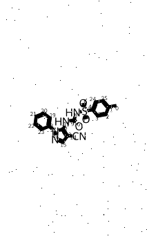 Cc1ccc(S(=O)(=O)NC(=O)Nc2c(C#N)cnn2-c2ccccc2)cc1